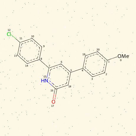 COc1ccc(-c2cc(-c3ccc(Cl)cc3)[nH]c(=O)c2)cc1